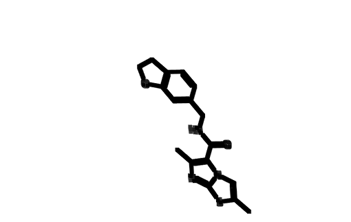 Cc1cn2c(C(=O)NCc3ccc4c(c3)OCC4)c(C)nc2s1